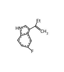 C=C(CC)c1c[nH]c2ccc(F)cc12